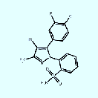 CCc1c(C(F)(F)F)nn(-c2ccccc2S(N)(=O)=O)c1-c1ccc(Cl)c(F)c1